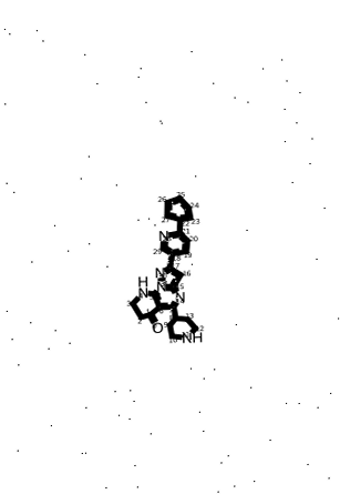 O=C1CCNc2c1c(C1CCNCC1)nc1cc(-c3ccc(-c4ccccc4)nc3)nn21